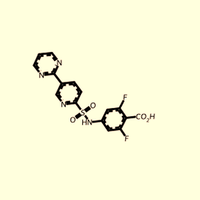 O=C(O)c1c(F)cc(NS(=O)(=O)c2ccc(-c3ncccn3)cn2)cc1F